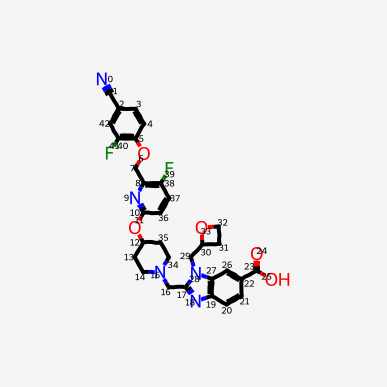 N#Cc1ccc(OCc2nc(OC3CCN(Cc4nc5ccc(C(=O)O)cc5n4CC4CCO4)CC3)ccc2F)c(F)c1